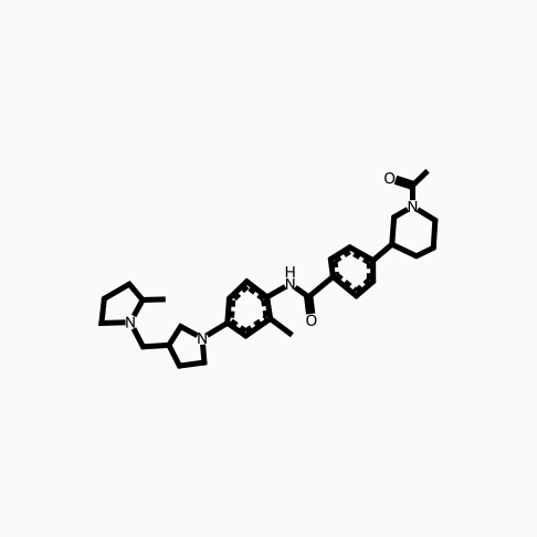 CC(=O)N1CCCC(c2ccc(C(=O)Nc3ccc(N4CCC(CN5CCCC5C)C4)cc3C)cc2)C1